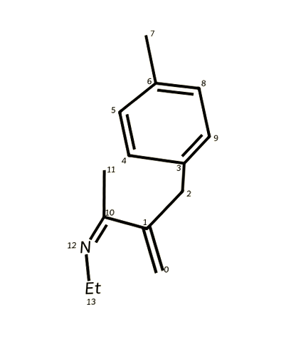 C=C(Cc1ccc(C)cc1)/C(C)=N\CC